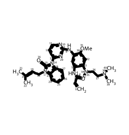 C=CC(=O)Nc1cc(Nc2nccc(-n3c(=O)n(CC=C(C)C)c4ccccc43)n2)c(OC)cc1N(C)CCN(C)C